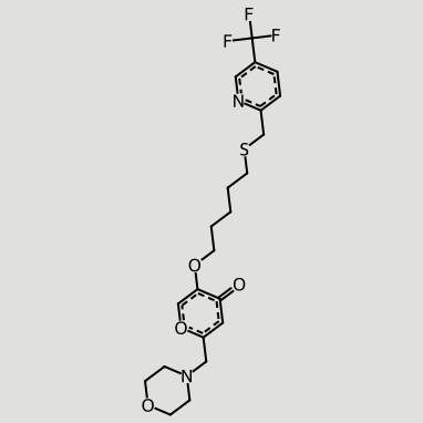 O=c1cc(CN2CCOCC2)occ1OCCCCCSCc1ccc(C(F)(F)F)cn1